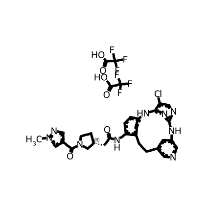 Cn1cc(C(=O)N2CC[C@H](CC(=O)Nc3ccc4cc3CCc3cncc(c3)Nc3ncc(Cl)c(n3)N4)C2)cn1.O=C(O)C(F)(F)F.O=C(O)C(F)(F)F